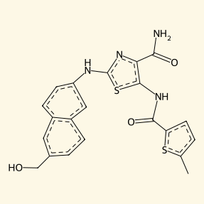 Cc1ccc(C(=O)Nc2sc(Nc3ccc4cc(CO)ccc4c3)nc2C(N)=O)s1